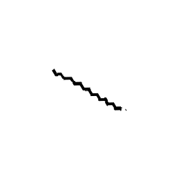 [CH]=CCCCCCCCCCCCCCC=C